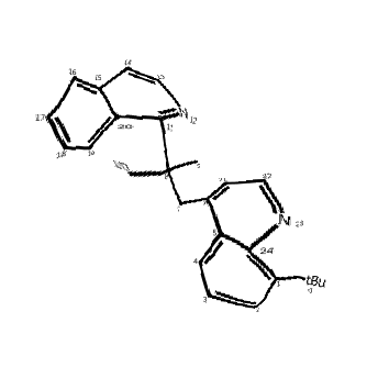 CC(C)(C)c1cccc2c(CC(C)(C)c3nccc4ccccc34)ccnc12